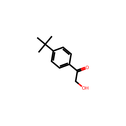 CC(C)(C)c1ccc(C(=O)CO)cc1